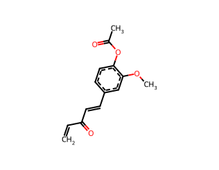 C=CC(=O)C=Cc1ccc(OC(C)=O)c(OC)c1